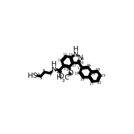 COc1c(C(=O)NCCCS)ccc2[nH]nc(-c3ccc4ccccc4c3)c12